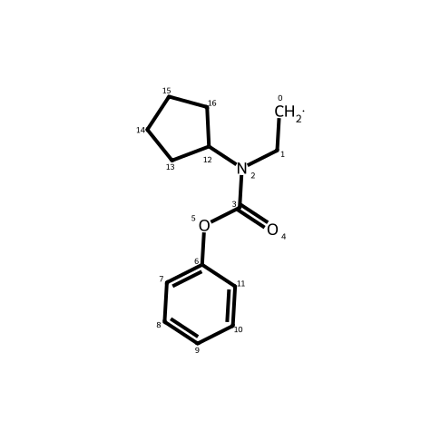 [CH2]CN(C(=O)Oc1ccccc1)C1CCCC1